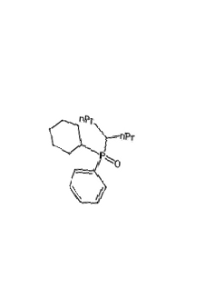 CCCC(CCC)P(=O)(c1ccccc1)C1CCCCC1